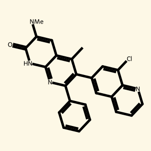 CNc1cc2c(C)c(-c3cc(Cl)c4ncccc4c3)c(-c3ccccc3)nc2[nH]c1=O